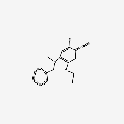 CCOC1=C(N(C)Cc2ccccc2)C=C(Cl)C(=[N+]=[N-])C1